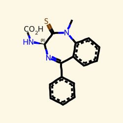 CN1C(=S)[C@H](NC(=O)O)N=C(c2ccccc2)c2ccccc21